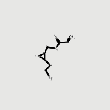 C=CC(=O)OCC1OC1CCO